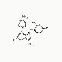 Cc1cn(Cc2ccc(Cl)cc2Cl)c2c(-c3ccc(N)nc3)cc(F)cc12